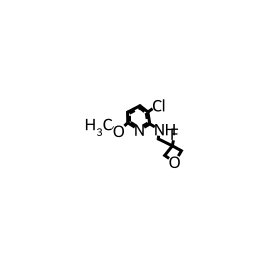 COc1ccc(Cl)c(NCC2(F)COC2)n1